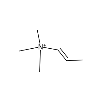 CC=C[N+](C)(C)C